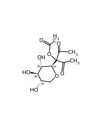 CC(=O)OC(C(C)=O)(C(C)=O)[C@H]1O[CH][C@H](O)[C@@H](O)[C@@H]1O